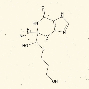 NC1(C(O)OCCCO)NC(=O)c2[nH]cnc2N1.[Na+]